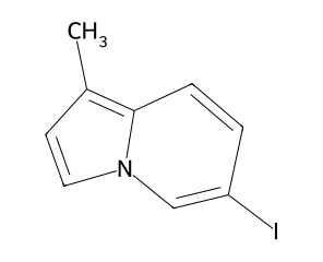 Cc1ccn2cc(I)ccc12